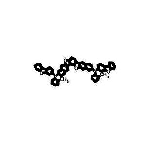 Cc1ccccc1N(c1ccc2cc3c(cc2c1)oc1c3ccc2oc3cc4cc(N(c5ccc6c(c5)oc5ccccc56)c5ccccc5C)ccc4cc3c21)c1ccc2c(c1)oc1ccccc12